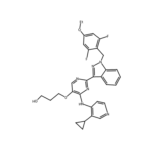 CCOc1cc(F)c(Cn2nc(-c3ncc(OCCCO)c(Nc4ccncc4C4CC4)n3)c3ccccc32)c(F)c1